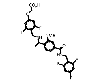 CNc1cc(C(=O)NCc2c(F)cc(F)cc2F)ccc1C(C)NCc1c(F)cc(OCC(=O)O)cc1F